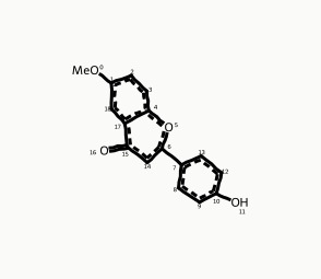 COc1ccc2oc(-c3ccc(O)cc3)cc(=O)c2c1